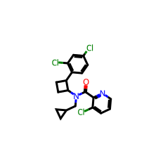 O=C(c1ncccc1Cl)N(CC1CC1)C1CCC1c1ccc(Cl)cc1Cl